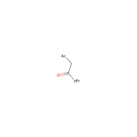 [CH2]CCC(=O)CC(C)=O